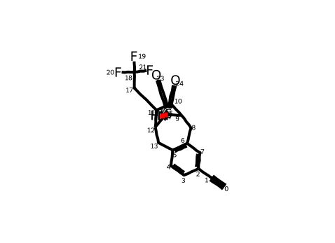 C#Cc1ccc2c(c1)CC1CCC(C2)C12CN(CC(F)(F)F)S(=O)(=O)N2